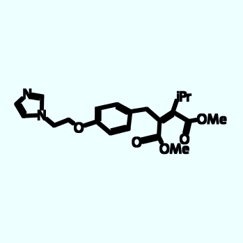 COC(=O)/C(Cc1ccc(OCCn2ccnc2)cc1)=C(\C(=O)OC)C(C)C